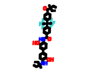 CCC(C)(CC)Nc1ccc(-c2ccc(NC(=O)c3ccc(C(c4ccc(C(=O)C(C)(CC)CC)cc4)(C(F)(F)F)C(F)(F)F)cc3)c(O)c2)cc1O